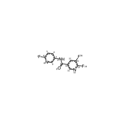 O=C(Nc1ccc(F)nc1)c1cnc(F)c(F)c1